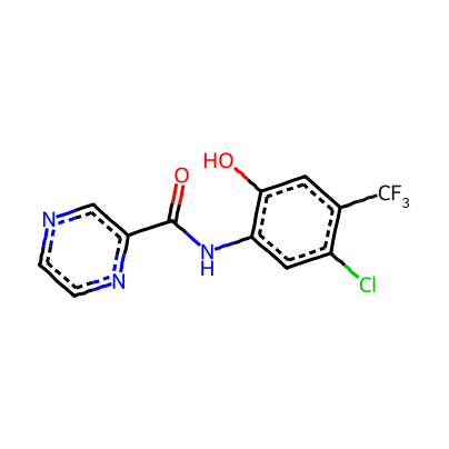 O=C(Nc1cc(Cl)c(C(F)(F)F)cc1O)c1cnccn1